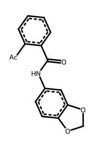 CC(=O)c1ccccc1C(=O)Nc1ccc2c(c1)OCO2